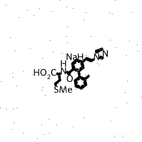 CSCCC(NC(=O)c1ccc(C=Cn2ccnc2)cc1-c1ccccc1C)C(=O)O.[NaH]